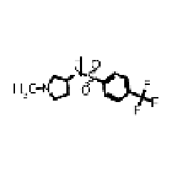 CN1CCC(NS(=O)(=O)c2ccc(C(F)(F)F)cc2)C1